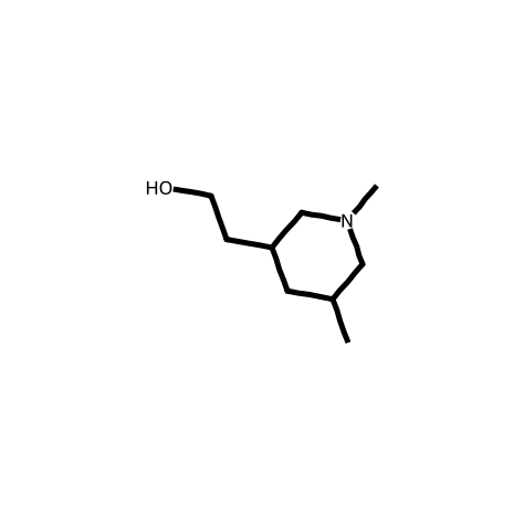 CC1CC(CCO)CN(C)C1